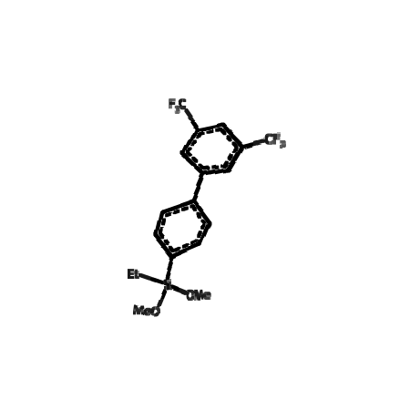 CC[Si](OC)(OC)c1ccc(-c2cc(C(F)(F)F)cc(C(F)(F)F)c2)cc1